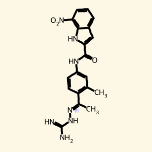 C/C(=N\NC(=N)N)c1ccc(NC(=O)c2cc3cccc([N+](=O)[O-])c3[nH]2)cc1C